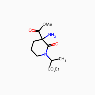 CCOC(=O)C(C)N1CCCC(N)(C(=O)OC)C1=O